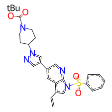 C=Cc1cn(S(=O)(=O)c2ccccc2)c2ncc(-c3cnn(C4CCN(C(=O)OC(C)(C)C)CC4)c3)cc12